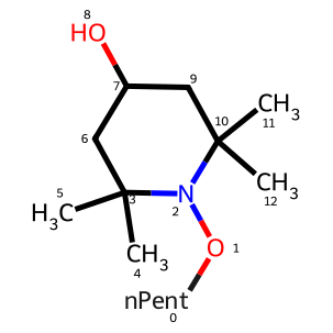 CCCCCON1C(C)(C)CC(O)CC1(C)C